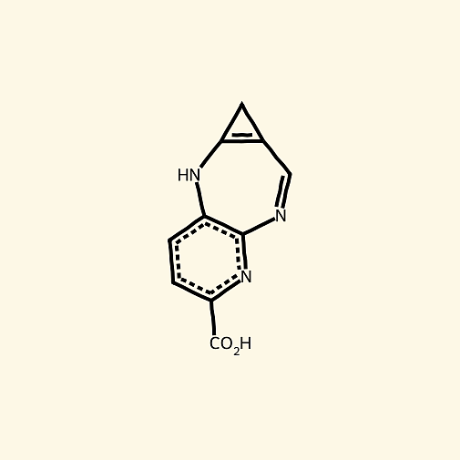 O=C(O)c1ccc2c(n1)N=CC1=C(C1)N2